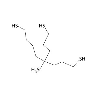 [SiH3]C(CCCS)(CCCS)CCCCS